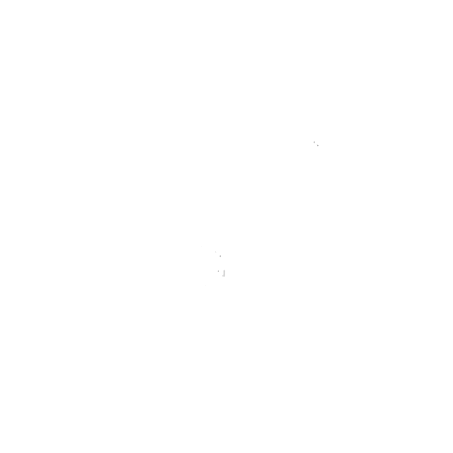 N=C(/C=C\C(=N)c1ccc(-c2c(-c3cccc(-c4ccc5ocnc5c4)c3)ccc3ccccc23)cc1)c1ccccc1